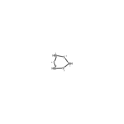 [S]1[BiH][S][BiH][S][BiH]1